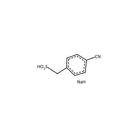 N#Cc1ccc(CS(=O)(=O)O)cc1.[NaH]